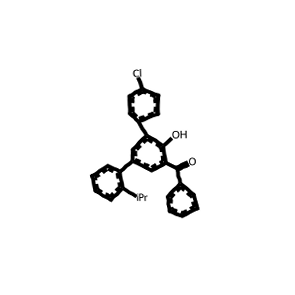 CC(C)c1ccccc1-c1cc(C(=O)c2ccccc2)c(O)c(-c2ccc(Cl)cc2)c1